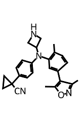 Cc1ccc(-c2c(C)noc2C)cc1N(c1ccc(C2(C#N)CC2)cc1)C1CNC1